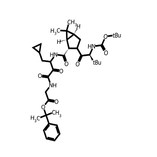 CC(C)(C)OC(=O)N[C@H](C(=O)C1C[C@H]2[C@@H]([C@H]1C(=O)NC(CC1CC1)C(=O)C(=O)NCC(=O)OC(C)(C)c1ccccc1)C2(C)C)C(C)(C)C